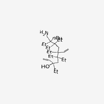 C=CC(O)(CC)CC(CC)(CC)C(C=C)(CC)CC(CC)(CC)C(CC)(CN)CCCC